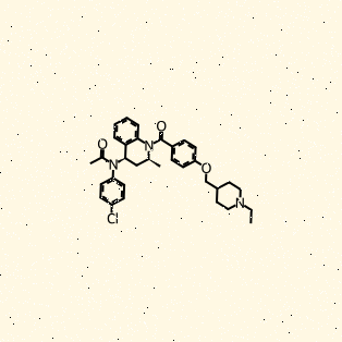 CCN1CCC(COc2ccc(C(=O)N3c4ccccc4[C@H](N(C(C)=O)c4ccc(Cl)cc4)C[C@@H]3C)cc2)CC1